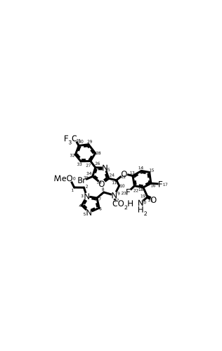 COCCn1cncc1CN(CC(Oc1ccc(F)c(C(N)=O)c1F)c1nc(-c2ccc(C(F)(F)F)cc2)c(Br)o1)C(=O)O